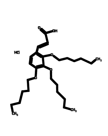 CCCCCCOc1ccc(C=CC(=O)O)c(OCCCCCC)c1OCCCCCC.Cl